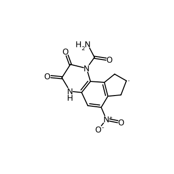 NC(=O)n1c(=O)c(=O)[nH]c2cc([N+](=O)[O-])c3c(c21)C[CH]C3